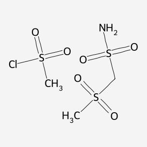 CS(=O)(=O)CS(N)(=O)=O.CS(=O)(=O)Cl